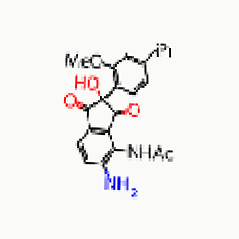 COc1cc(C(C)C)ccc1C1(O)C(=O)c2ccc(N)c(NC(C)=O)c2C1=O